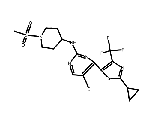 CS(=O)(=O)N1CCC(Nc2ncc(Cl)c(-c3sc(C4CC4)nc3C(F)(F)F)n2)CC1